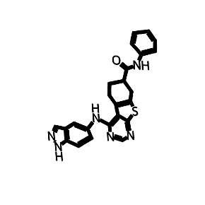 O=C(Nc1ccccc1)C1CCc2c(sc3ncnc(Nc4ccc5[nH]ncc5c4)c23)C1